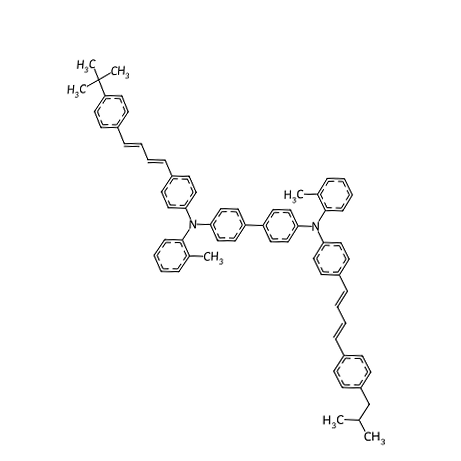 Cc1ccccc1N(c1ccc(/C=C/C=C/c2ccc(CC(C)C)cc2)cc1)c1ccc(-c2ccc(N(c3ccc(/C=C/C=C/c4ccc(C(C)(C)C)cc4)cc3)c3ccccc3C)cc2)cc1